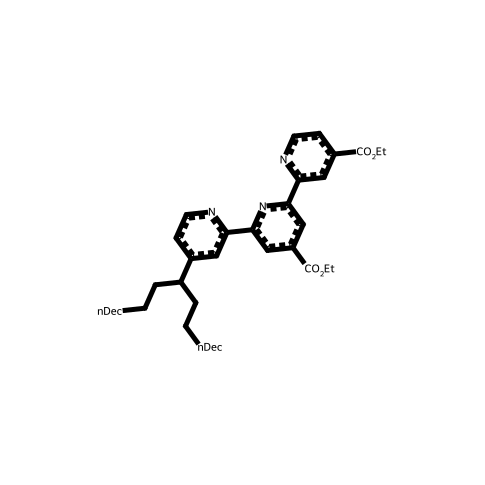 CCCCCCCCCCCCC(CCCCCCCCCCCC)c1ccnc(-c2cc(C(=O)OCC)cc(-c3cc(C(=O)OCC)ccn3)n2)c1